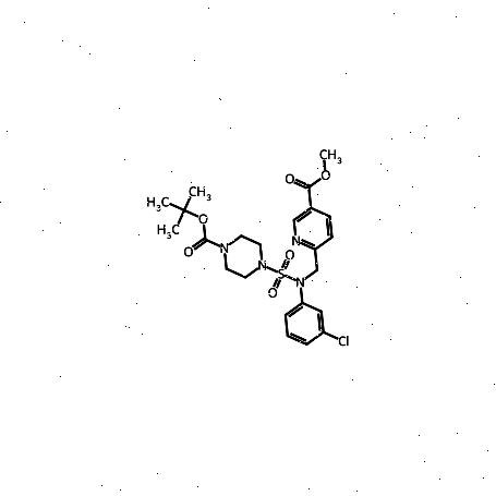 COC(=O)c1ccc(CN(c2cccc(Cl)c2)S(=O)(=O)N2CCN(C(=O)OC(C)(C)C)CC2)nc1